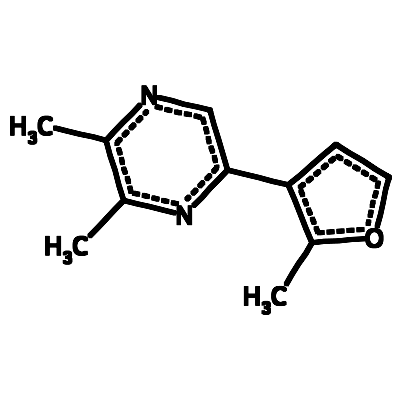 Cc1ncc(-c2ccoc2C)nc1C